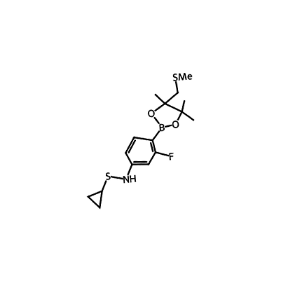 CSCC1(C)OB(c2ccc(NSC3CC3)cc2F)OC1(C)C